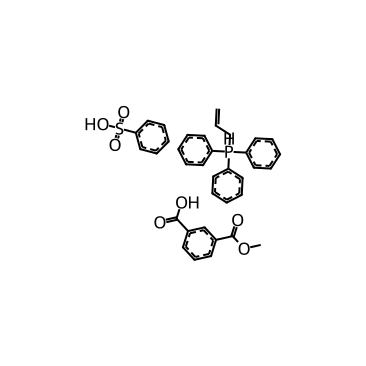 C=CC[PH](c1ccccc1)(c1ccccc1)c1ccccc1.COC(=O)c1cccc(C(=O)O)c1.O=S(=O)(O)c1ccccc1